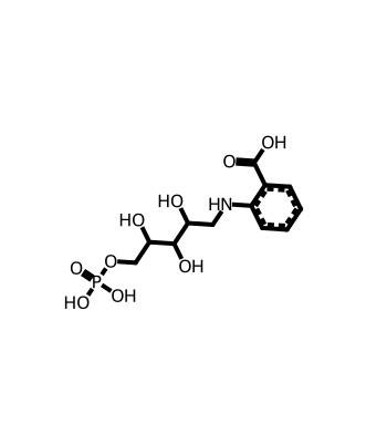 O=C(O)c1ccccc1NCC(O)C(O)C(O)COP(=O)(O)O